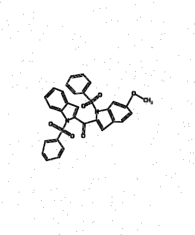 COc1ccc2cc(C(=O)c3cc4ccccc4n3S(=O)(=O)c3ccccc3)n(S(=O)(=O)c3ccccc3)c2c1